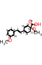 COc1cccc(C=CC2=CCC(OC)(C(=O)O)C=C2)c1